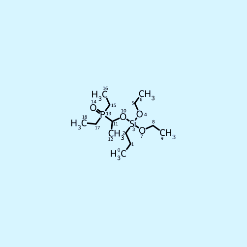 CCC[Si](OCC)(OCC)OC(C)P(=O)(CC)CC